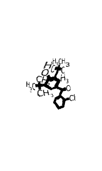 CC(C)(C)c1cc(C(=O)c2ccccc2Cl)cc(C(C)(C)C)c1O